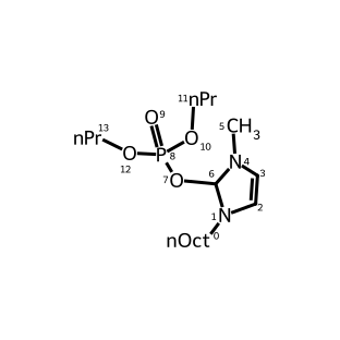 CCCCCCCCN1C=CN(C)C1OP(=O)(OCCC)OCCC